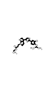 CCOC(=O)CCn1ccc2c(-c3cnc(-c4ccc(OC(C)C)c(Cl)c4)s3)ccnc21